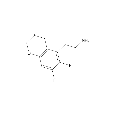 NCCc1c(F)c(F)cc2c1C[CH]CO2